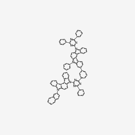 c1ccc(-c2nc(-c3cccc(-c4ccc5c6c7c8ccccc8n(-c8nc(-c9ccccc9)nc(-c9ccccc9)n8)c7ccc6n(-c6ccccc6)c5c4)c3)nc(-n3c4ccccc4c4c5c6ccccc6n(-c6ccc7ccccc7c6)c5ccc43)n2)cc1